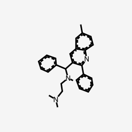 Cc1ccc2nc(-c3ccccc3)c(C(c3ccccc3)N(C)CCN(C)C)cc2c1